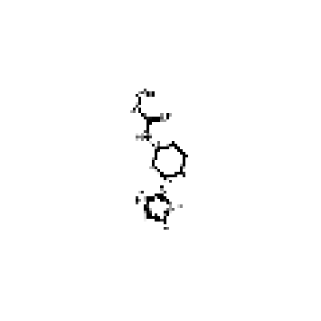 CC(C)(C)OC(=O)N[C@@H]1CCC[C@H](c2nnc[nH]2)C1